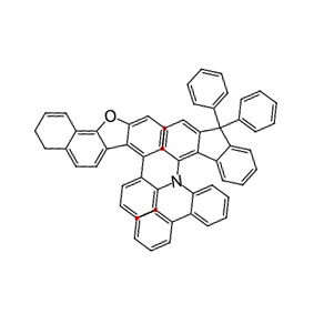 C1=Cc2c(ccc3c2oc2cccc(-c4ccccc4N(c4ccccc4-c4ccccc4)c4cccc5c4-c4ccccc4C5(c4ccccc4)c4ccccc4)c23)CC1